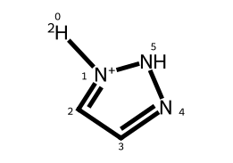 [2H][n+]1ccn[nH]1